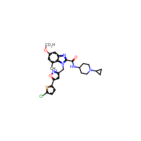 Cc1cc(OC(=O)O)cc2nc(C(=O)NC3CCN(C4CC4)CC3)n(Cc3cc(-c4ccc(Cl)s4)on3)c12